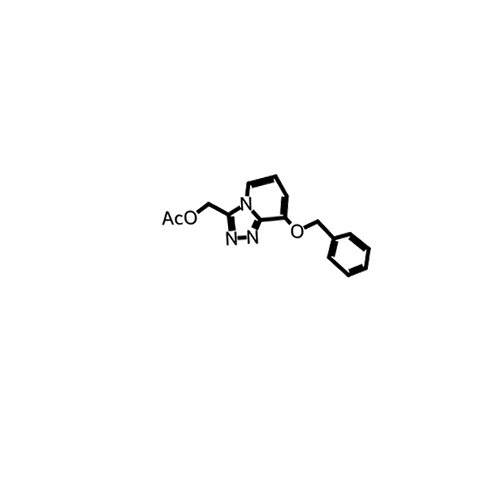 CC(=O)OCc1nnc2c(OCc3ccccc3)cccn12